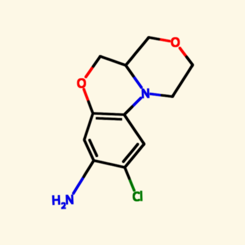 Nc1cc2c(cc1Cl)N1CCOCC1CO2